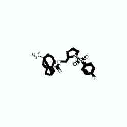 C[C@@]12CCC[C@@]3(C(=O)NCC4CCCN4S(=O)(=O)c4ccc(F)cc4)CC(CC3C1)C2